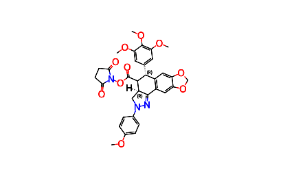 COc1ccc(N2C[C@@H]3C(=N2)c2cc4c(cc2[C@@H](c2cc(OC)c(OC)c(OC)c2)C3C(=O)ON2C(=O)CCC2=O)OCO4)cc1